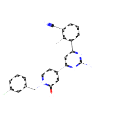 Cc1c(C#N)cccc1-c1cc(-c2ccn(Cc3cccc(Cl)c3)c(=O)c2)nc(N)n1